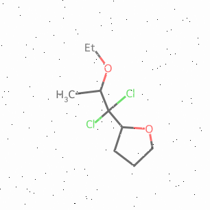 CCOC(C)C(Cl)(Cl)C1CCCO1